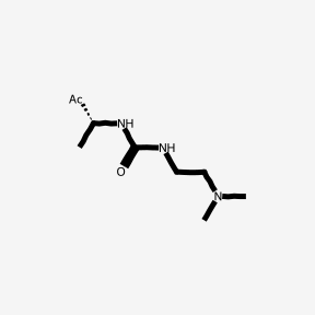 CC(=O)[C@@H](C)NC(=O)NCCN(C)C